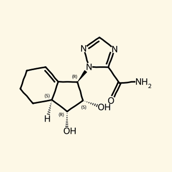 NC(=O)c1ncnn1[C@@H]1C2=CCCC[C@@H]2[C@@H](O)[C@H]1O